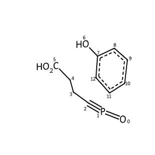 O=P#CCCC(=O)O.Oc1ccccc1